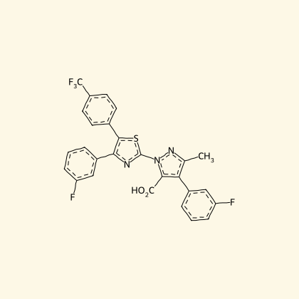 Cc1nn(-c2nc(-c3cccc(F)c3)c(-c3ccc(C(F)(F)F)cc3)s2)c(C(=O)O)c1-c1cccc(F)c1